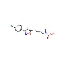 O=C(O)NCCCCc1cc(-c2ccc(Cl)cc2)no1